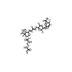 CCC(=O)NCCNC(=O)C[C@@H]1CC(C)(OC)[C@H](O)C(/C=C/C(C)=C/CC2O[C@H](C)C(NC(=O)/C=C\[C@H](C)OC(C)=O)CC2C)O1